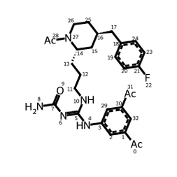 CC(=O)c1cc(N/C(=N/C(N)=O)NCCC[C@H]2C[C@H](Cc3ccc(F)cc3)CCN2C(C)=O)cc(C(C)=O)c1